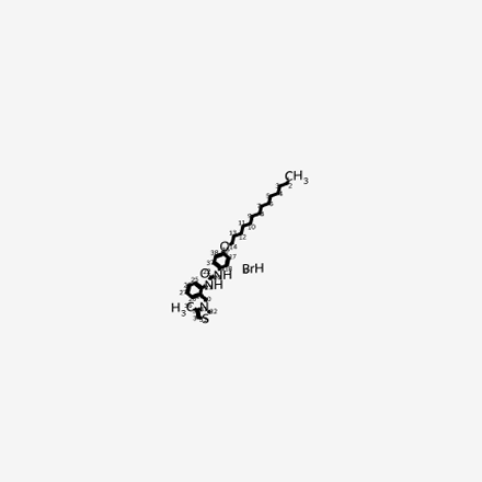 Br.CCCCCCCCCCCCCCOc1ccc(NC(=O)Nc2ccccc2CN2CSC=C2C)cc1